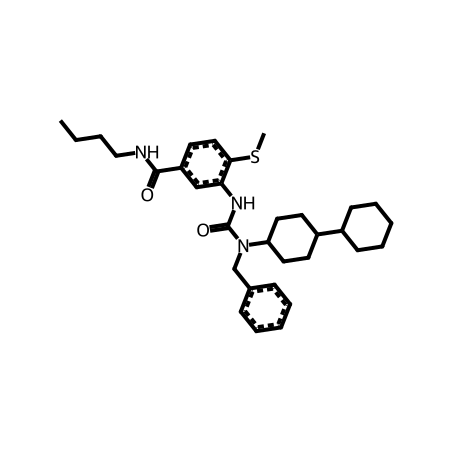 CCCCNC(=O)c1ccc(SC)c(NC(=O)N(Cc2ccccc2)C2CCC(C3CCCCC3)CC2)c1